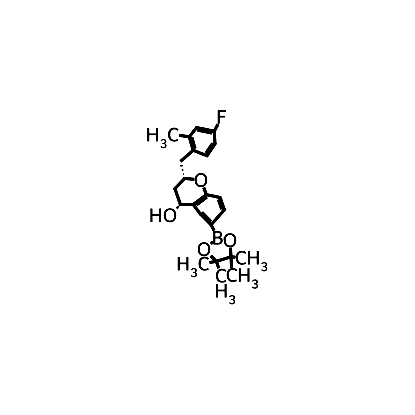 Cc1cc(F)ccc1C[C@H]1C[C@@H](O)c2cc(B3OC(C)(C)C(C)(C)O3)ccc2O1